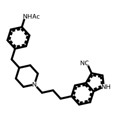 CC(=O)Nc1ccc(CC2CCN(CCCc3ccc4[nH]cc(C#N)c4c3)CC2)cc1